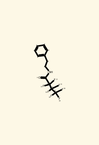 O=C(NCCc1ccccc1)C(F)(F)C(F)(F)C(F)(F)F